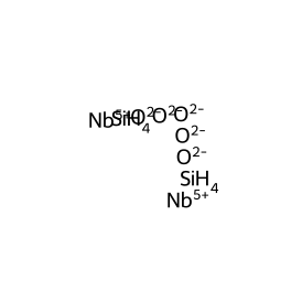 [Nb+5].[Nb+5].[O-2].[O-2].[O-2].[O-2].[O-2].[SiH4].[SiH4]